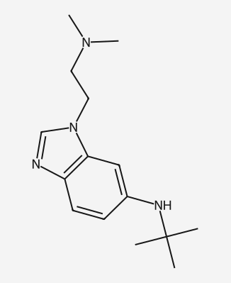 CN(C)CCn1cnc2ccc(NC(C)(C)C)cc21